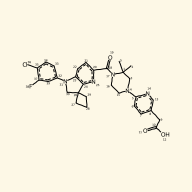 CC1(C)CN(c2ccc(CC(=O)O)cn2)CCN1C(=O)c1ccc2c(n1)C1(CCC1)CN2c1ccc(Cl)c(F)c1